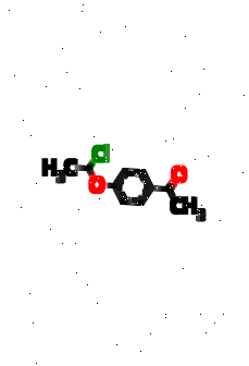 CC(=O)c1ccc(OC(C)Cl)cc1